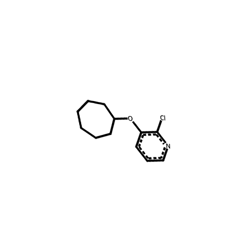 Clc1ncccc1OC1CCCCCC1